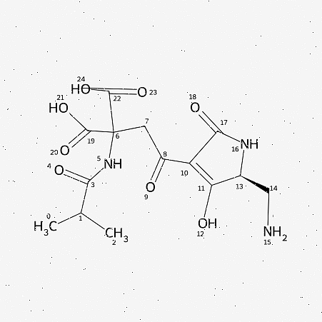 CC(C)C(=O)NC(CC(=O)C1=C(O)[C@H](CN)NC1=O)(C(=O)O)C(=O)O